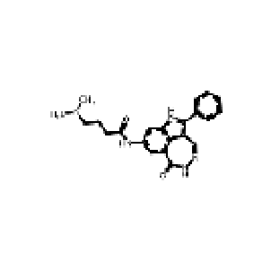 CN(C)CCCC(=O)Nc1cc2c3c(c(-c4ccccc4)[nH]c3c1)C=NNC2=O